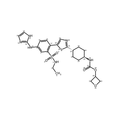 CCNS(=O)(=O)c1cc(Nc2ncc[nH]2)ccc1-c1cnc([C@H]2CC[C@H](NC(=O)OC3COC3)CC2)s1